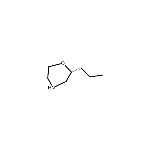 CCC[C@@H]1CNCCO1